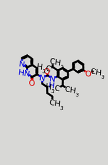 CCCCCN(C(=O)Nc1c(C(C)C)cc(-c2cccc(OC)c2)cc1C(C)C)c1cc2cccnc2[nH]c1=O